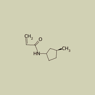 C=CC(=O)NC1CC[C@H](C)C1